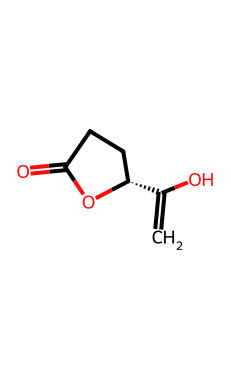 C=C(O)[C@H]1CCC(=O)O1